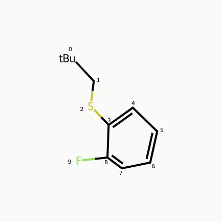 CC(C)(C)CSc1ccccc1F